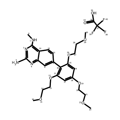 CNc1nc(N)nc2cc(-c3c(OCCOC)cc(OCCOC)cc3OCCOC)ccc12.O=C(O)C(F)(F)F